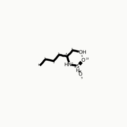 CCCCC(CO)N[SH](=O)=O